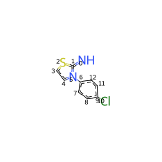 N=c1sccn1-c1ccc(Cl)cc1